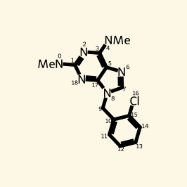 CNc1nc(NC)c2ncn(Cc3ccccc3Cl)c2n1